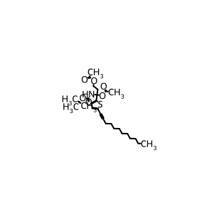 CCCCCCCCCCC#Cc1ccc(C(CCOC(C)=O)(NC(=O)OC(C)(C)C)OC(C)=O)s1